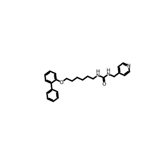 O=C(NCCCCCCOc1ccccc1-c1ccccc1)NCc1ccncc1